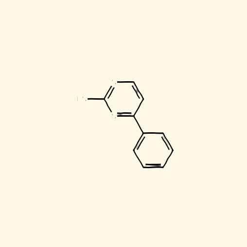 Nc1nc[c]c(-c2ccccc2)n1